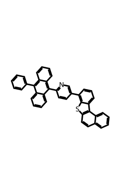 c1ccc(-c2c3ccccc3c(-c3ccc(-c4cccc5c4sc4ccc6ccccc6c45)cn3)c3ccccc23)cc1